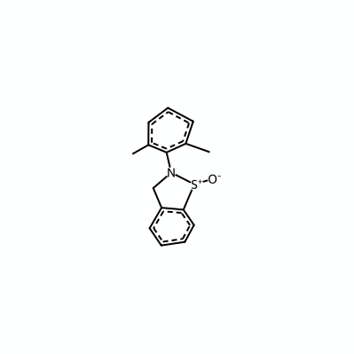 Cc1cccc(C)c1N1Cc2ccccc2[S+]1[O-]